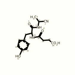 CC(C#N)NC(=O)C(Cc1ccc(O)cc1)NC(=O)CCC(=O)O